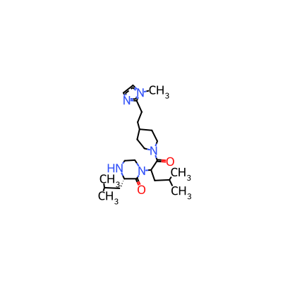 CC(C)CC(C(=O)N1CCC(CCc2nccn2C)CC1)N1CCN[C@@H](CC(C)C)C1=O